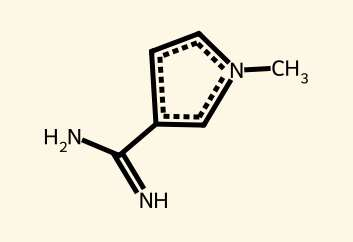 Cn1ccc(C(=N)N)c1